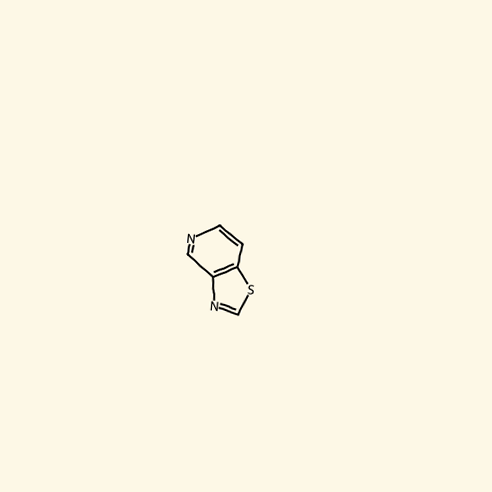 c1cc2scnc2cn1